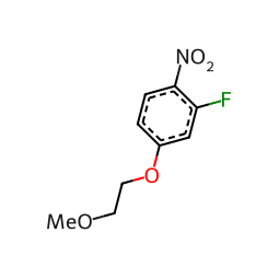 COCCOc1ccc([N+](=O)[O-])c(F)c1